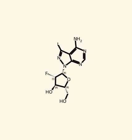 Nc1ncnc2c1c(I)nn2[C@@H]1O[C@H](CO)[C@@H](O)[C@@H]1F